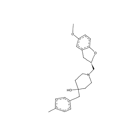 COc1ccc2c(c1)C[C@H](CN1CCC(O)(Cc3ccc(C)cc3)CC1)O2